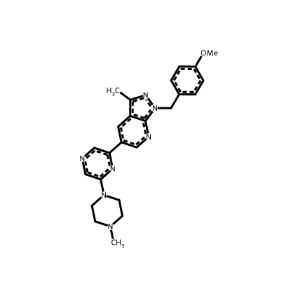 COc1ccc(Cn2nc(C)c3cc(-c4cncc(N5CCN(C)CC5)n4)cnc32)cc1